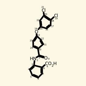 O=C(Nc1ccccc1C(=O)O)c1ccc(Oc2ccc(Cl)c(Cl)c2)cc1